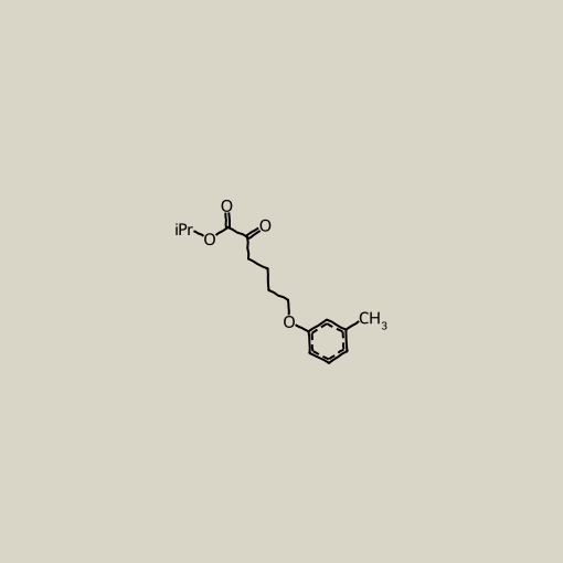 Cc1cccc(OCCCCC(=O)C(=O)OC(C)C)c1